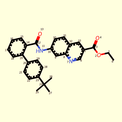 CCOC(=O)c1cnc2cc(NC(=O)c3ccccc3-c3ccc(C(C)(C)C)cc3)ccc2c1